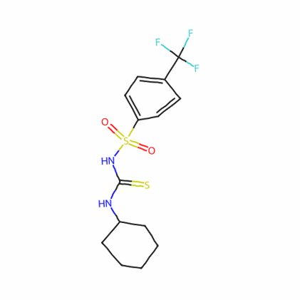 O=S(=O)(NC(=S)NC1CCCCC1)c1ccc(C(F)(F)F)cc1